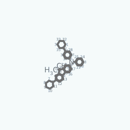 CC1(C)c2cc(C3CCCCC3)ccc2-c2ccc(N(c3ccccc3)c3ccc(C4CCCCC4)cc3)cc21